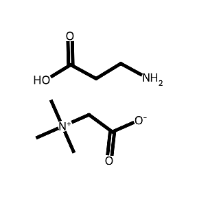 C[N+](C)(C)CC(=O)[O-].NCCC(=O)O